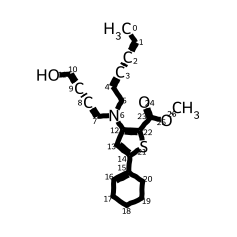 CC=C=C=CCN(C=C=C=CO)c1cc(C2=CCCCC2)sc1C(=O)OC